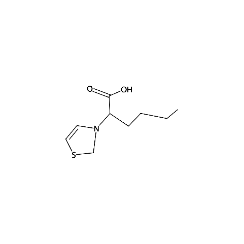 CCCCC(C(=O)O)N1C=CSC1